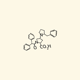 O=C(O)[C@@H]1C[C@H](N2CCCC2Cc2ccccc2)CN1C(=O)C(c1ccccc1)c1ccccc1